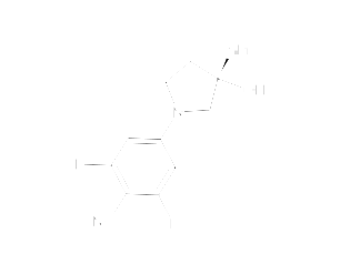 CCC[C@]1(O)CCN(c2cc(F)c(C#N)c(F)c2)[C@H]1C